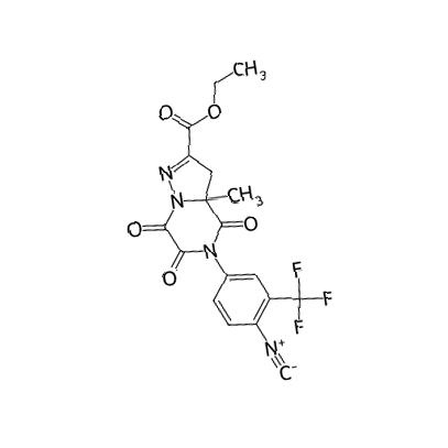 [C-]#[N+]c1ccc(N2C(=O)C(=O)N3N=C(C(=O)OCC)CC3(C)C2=O)cc1C(F)(F)F